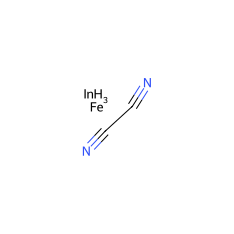 N#CC#N.[Fe].[InH3]